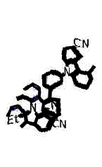 C=C/C(=C(\C=C/C)c1cc(C#N)ccc1-c1cccc(-n2c3c(c4cc(C#N)ccc42)C(C)CC=C3)c1)N1c2c(C#N)cccc2C(C)C1(/C=C\C)CC